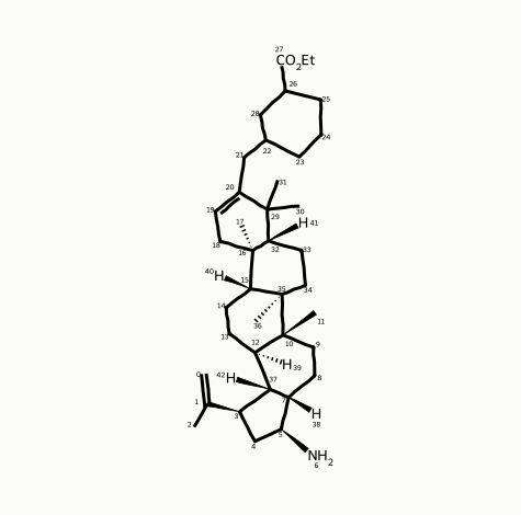 C=C(C)[C@@H]1C[C@H](N)[C@H]2CC[C@]3(C)[C@H](CC[C@@H]4[C@@]5(C)CC=C(CC6CCCC(C(=O)OCC)C6)C(C)(C)[C@@H]5CC[C@]43C)[C@H]21